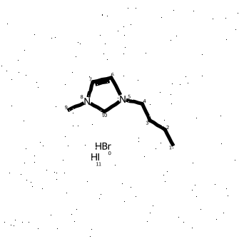 Br.CCCCN1C=CN(C)C1.I